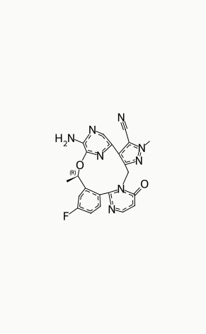 C[C@H]1Oc2nc(cnc2N)-c2c(nn(C)c2C#N)Cn2c(nccc2=O)-c2ccc(F)cc21